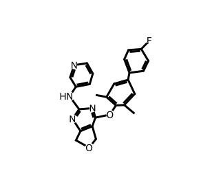 Cc1cc(-c2ccc(F)cc2)cc(C)c1Oc1nc(Nc2cccnc2)nc2c1COC2